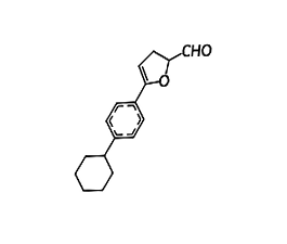 O=CC1CC=C(c2ccc(C3CCCCC3)cc2)O1